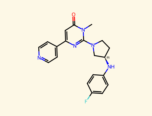 Cn1c(N2CC[C@@H](Nc3ccc(F)cc3)C2)nc(-c2ccncc2)cc1=O